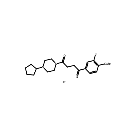 COc1ccc(C(=O)CCC(=O)N2CCN(C3CCCC3)CC2)cc1Cl.Cl